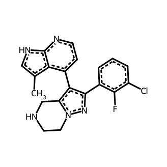 Cc1c[nH]c2nccc(-c3c(-c4cccc(Cl)c4F)nn4c3CNCC4)c12